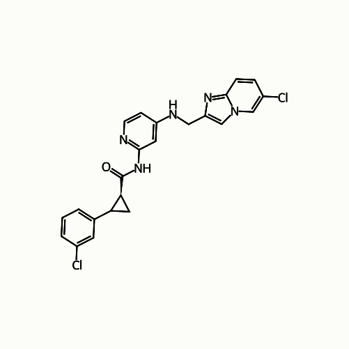 O=C(Nc1cc(NCc2cn3cc(Cl)ccc3n2)ccn1)[C@H]1CC1c1cccc(Cl)c1